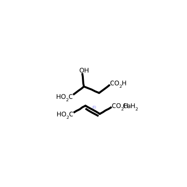 O=C(O)/C=C/C(=O)O.O=C(O)CC(O)C(=O)O.[CaH2]